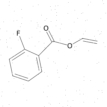 C=COC(=O)c1ccccc1F